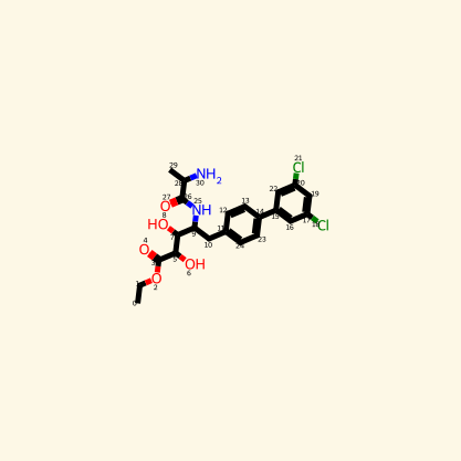 CCOC(=O)C(O)C(O)C(Cc1ccc(-c2cc(Cl)cc(Cl)c2)cc1)NC(=O)C(C)N